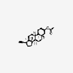 C#C[C@@H]1CC[C@H]2[C@@H]3CC[C@H]4CC(OC(C)=O)=CC[C@]4(C)[C@H]3CC[C@]12C